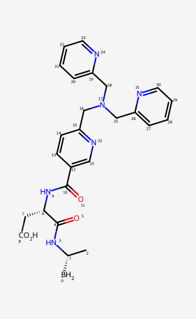 B[C@@H](C)NC(=O)[C@H](CC(=O)O)NC(=O)c1ccc(CN(Cc2ccccn2)Cc2ccccn2)nc1